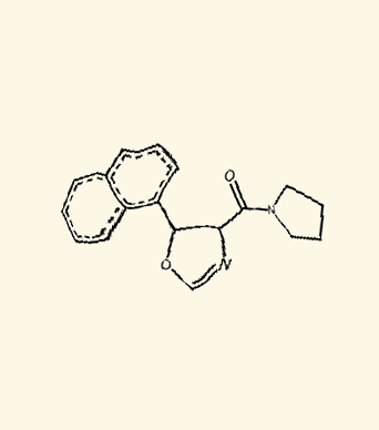 O=C(C1N=COC1c1cccc2ccccc12)N1CCCC1